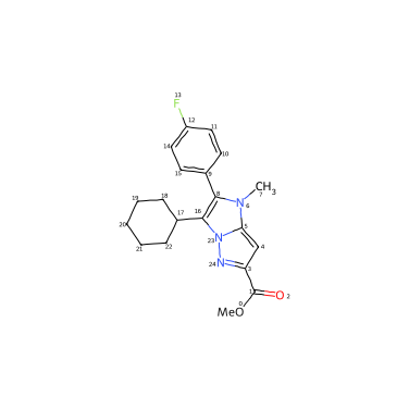 COC(=O)c1cc2n(C)c(-c3ccc(F)cc3)c(C3CCCCC3)n2n1